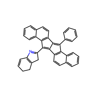 C1=CC2=C(CC1)CC(C1=C3C(=C(c4ccccc4)c4c3ccc3ccccc43)c3ccc4ccccc4c31)=N2